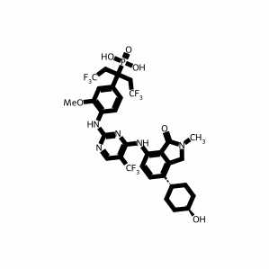 COc1cc(C(CC(F)(F)F)(CC(F)(F)F)P(=O)(O)O)ccc1Nc1ncc(C(F)(F)F)c(Nc2ccc([C@H]3CC[C@H](O)CC3)c3c2C(=O)N(C)C3)n1